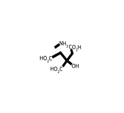 CN.O=C(O)CC(O)(CC(=O)O)C(=O)O